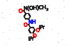 CC(C)Oc1ccc(C(=O)Nc2ccc(C(=O)N(C)O)cc2)cc1OC(C)C